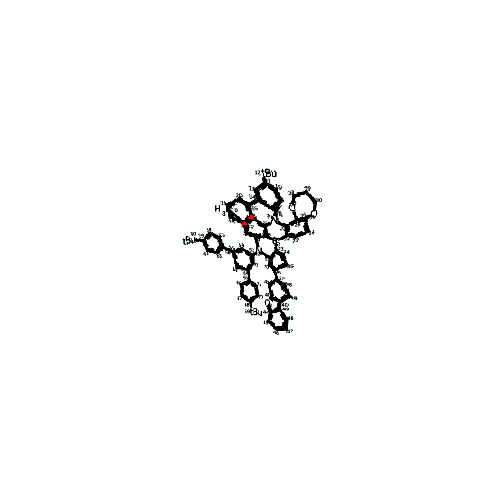 Cc1cc2c3c(c1)N(c1ccc(C(C)(C)C)cc1-c1ccccc1)c1c(ccc4c1OCCCO4)B3c1ccc(-c3ccc4c(c3)oc3ccccc34)cc1N2c1cc(-c2ccc(C(C)(C)C)cc2)cc(-c2ccc(C(C)(C)C)cc2)c1